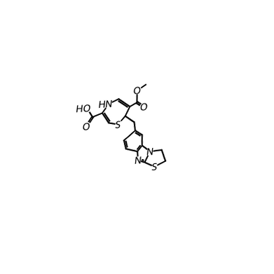 COC(=O)C1=CNC(C(=O)O)=CSC1Cc1ccc2nc3n(c2c1)CCS3